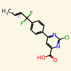 C/C=C/C(F)(F)c1ccc(-c2cc(C(=O)O)nc(Cl)n2)cc1